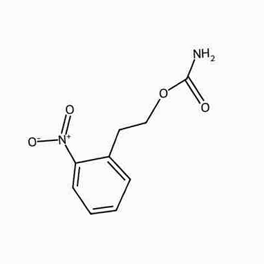 NC(=O)OCCc1ccccc1[N+](=O)[O-]